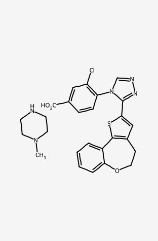 CN1CCNCC1.O=C(O)c1ccc(-n2cnnc2-c2cc3c(s2)-c2ccccc2OCC3)c(Cl)c1